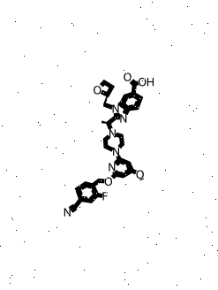 COc1cc(OCc2ccc(C#N)cc2F)nc(N2CCN([C@@H](C)c3nc4ccc(C(=O)O)cc4n3C[C@@H]3CCO3)CC2)c1